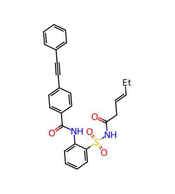 CCC=CCC(=O)NS(=O)(=O)c1ccccc1NC(=O)c1ccc(C#Cc2ccccc2)cc1